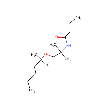 CCCCC(C)(C)OCC(C)(C)NC(=O)CCC